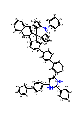 C1=C(c2cccc(-c3ccc(-c4ccc5c(c4)C4(c6cc7ccccc7cc6-5)c5ccccc5N(c5ccccc5)c5ccccc54)cc3)c2)NC(c2ccccc2)NC1c1ccc(-c2ccccc2)cc1